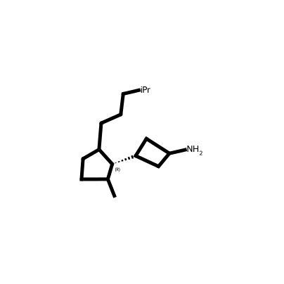 CC(C)CCCC1CCC(C)[C@H]1C1CC(N)C1